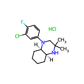 CC1(C)CN(c2ccc(F)c(Cl)c2)[C@@H]2CCCC[C@@H]2N1.Cl